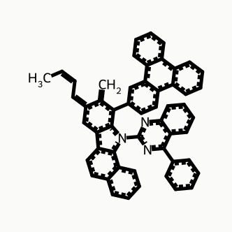 C=c1c(-c2ccc3c4ccccc4c4ccccc4c3c2)c2c(c/c1=C/C=C\C)c1ccc3ccccc3c1n2-c1nc(-c2ccccc2)c2ccccc2n1